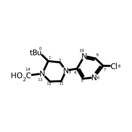 CC(C)(C)C1CN(c2cnc(Cl)cn2)CCN1C(=O)O